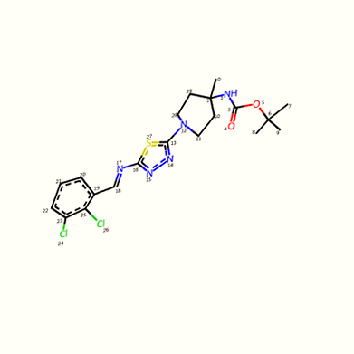 CC1(NC(=O)OC(C)(C)C)CCN(c2nnc(/N=C/c3cccc(Cl)c3Cl)s2)CC1